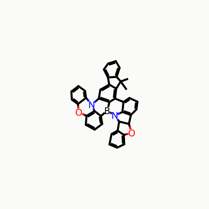 CC1(C)c2ccccc2-c2cc3c4c(c21)-c1cccc2c1N(B4c1cccc4c1N3c1ccccc1O4)C1c3ccccc3OC21